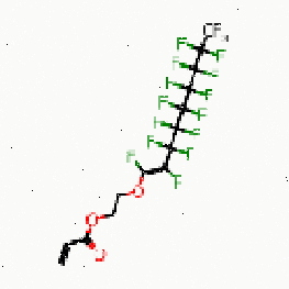 C=CC(=O)OCCOC(F)=C(F)C(F)(F)C(F)(F)C(F)(F)C(F)(F)C(F)(F)C(F)(F)C(F)(F)F